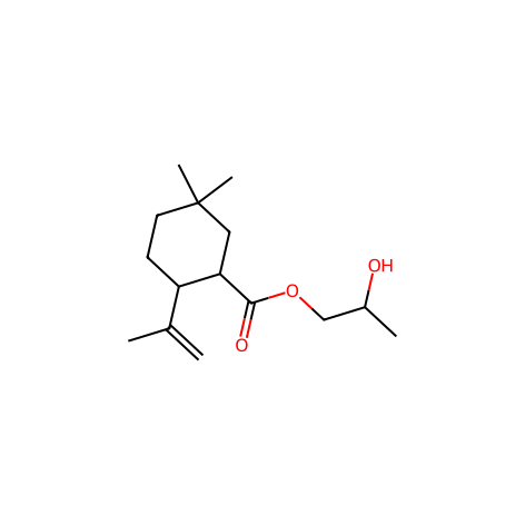 C=C(C)C1CCC(C)(C)CC1C(=O)OCC(C)O